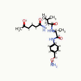 CC(=O)CCCC(=O)N[C@@H](C(=O)N[C@H](C)C(=O)Nc1ccc(CON)cc1)C(C)C